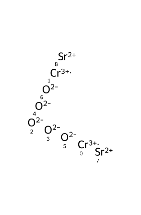 [Cr+3].[Cr+3].[O-2].[O-2].[O-2].[O-2].[O-2].[Sr+2].[Sr+2]